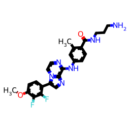 COc1ccc(-c2cnc3c(Nc4ccc(C(=O)NCCCN)c(C)c4)nccn23)c(F)c1F